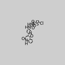 O=C(Nc1ccc(-c2cc(=O)[nH]c3ccccc3c2=O)nc1)NS(=O)(=O)c1ccc(Cl)s1